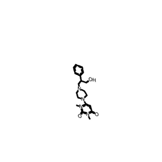 Cn1c(N2CCN(CC(CO)c3ccccc3)CC2)cc(=O)n(C)c1=O